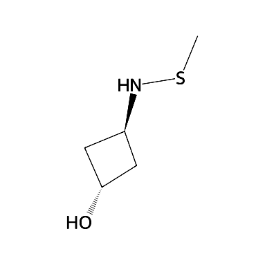 CSN[C@H]1C[C@H](O)C1